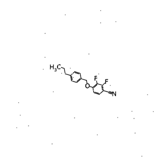 CCCc1ccc(COc2ccc(C#N)c(F)c2F)cc1